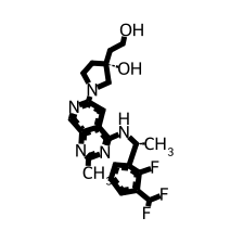 Cc1nc(N[C@H](C)c2cccc(C(F)F)c2F)c2cc(N3CC[C@@](O)(CCO)C3)ncc2n1